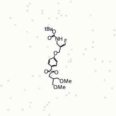 COCC(COC)CS(=O)(=O)c1ccc(OC/C(=C/F)CNC(=O)OC(C)(C)C)cc1